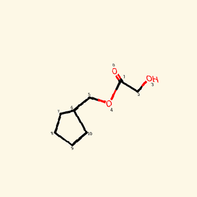 O=C(CO)OCC1CCCC1